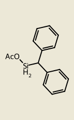 CC(=O)O[SiH2]C(c1ccccc1)c1ccccc1